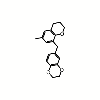 Cc1cc2c(c(Cc3ccc4c(c3)OCCO4)c1)OCCC2